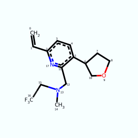 C=Cc1ccc(C2CCOC2)c(CN(C)CC(F)(F)F)n1